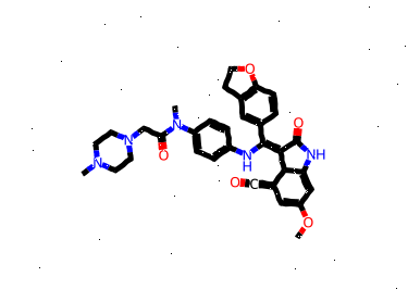 COC1=CC(=C=O)C2C(=C1)NC(=O)C2=C(Nc1ccc(N(C)C(=O)CN2CCN(C)CC2)cc1)c1ccc2c(c1)CCO2